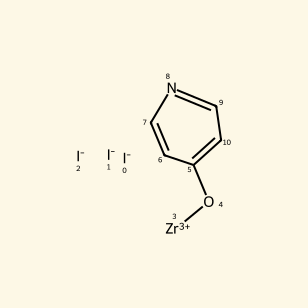 [I-].[I-].[I-].[Zr+3][O]c1ccncc1